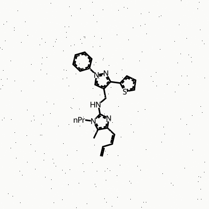 C=C/C=C\c1nc(NCc2cn(-c3ccccc3)nc2-c2cccs2)n(CCC)c1C